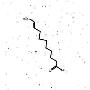 CCCCCCCCC=CCCCCCCCC(N)=O.[Zn]